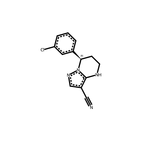 N#Cc1cnn2c1NCC[C@@H]2c1cccc(Cl)c1